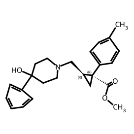 COC(=O)[C@]1(c2ccc(C)cc2)C[C@H]1CN1CCC(O)(c2ccccc2)CC1